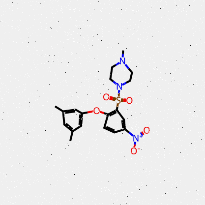 Cc1cc(C)cc(Oc2ccc([N+](=O)[O-])cc2S(=O)(=O)N2CCN(C)CC2)c1